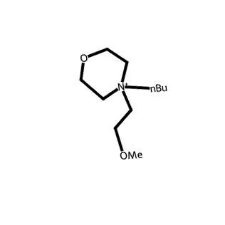 CCCC[N+]1(CCOC)CCOCC1